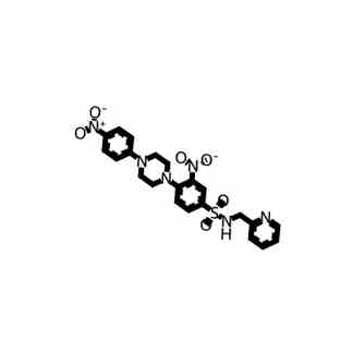 O=[N+]([O-])c1ccc(N2CCN(c3ccc(S(=O)(=O)NCc4ccccn4)cc3[N+](=O)[O-])CC2)cc1